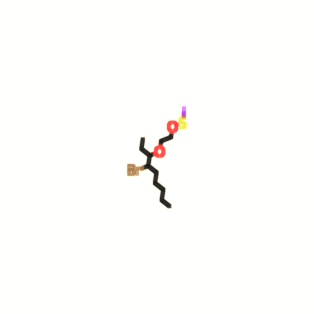 CCCCCC(Br)C(CC)OCCOSI